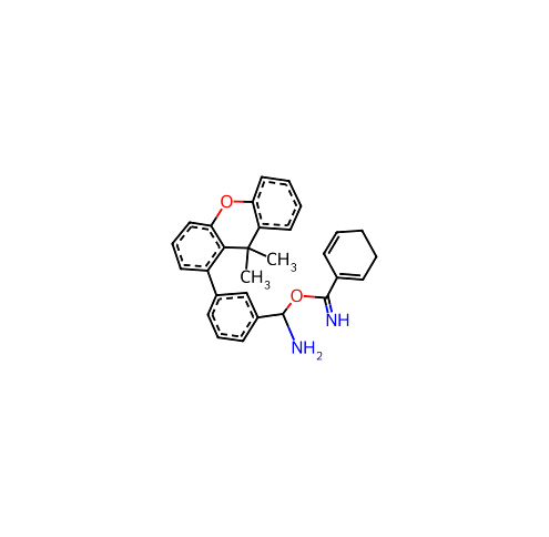 CC1(C)c2ccccc2Oc2cccc(-c3cccc(C(N)OC(=N)C4=CCCC=C4)c3)c21